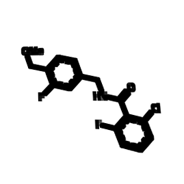 COCc1ccc(CNC(=O)c2c(F)cccc2Cl)cc1F